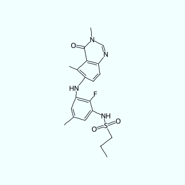 CCCS(=O)(=O)Nc1cc(C)cc(Nc2ccc3ncn(C)c(=O)c3c2C)c1F